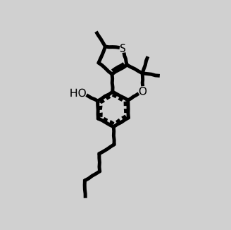 CCCCCc1cc(O)c2c(c1)OC(C)(C)C1=C2CC(C)S1